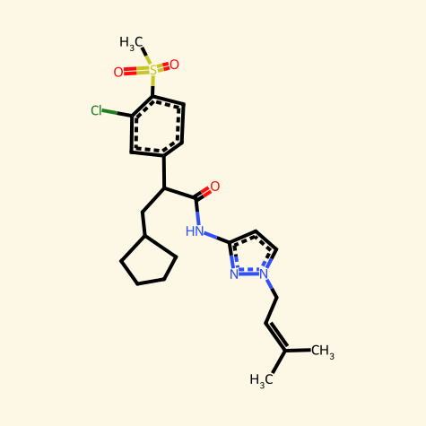 CC(C)=CCn1ccc(NC(=O)C(CC2CCCC2)c2ccc(S(C)(=O)=O)c(Cl)c2)n1